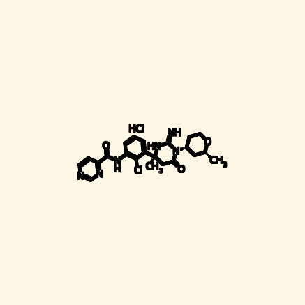 C[C@@H]1C[C@H](N2C(=N)N[C@](C)(c3cccc(NC(=O)c4ccncn4)c3Cl)CC2=O)CCO1.Cl